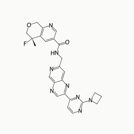 C[C@@]1(F)COCc2ncc(C(=O)NCc3cc4nc(-c5ccnc(N6CCC6)n5)cnc4cn3)cc21